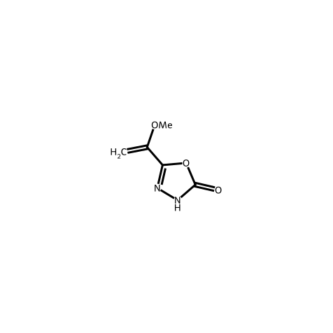 C=C(OC)c1n[nH]c(=O)o1